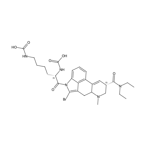 CCN(CC)C(=O)[C@H]1C=C2c3cccc4c3c(c(Br)n4C(=O)[C@H](CCCCNC(=O)O)NC(=O)O)CC2N(C)C1